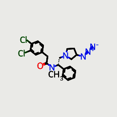 CN(C(=O)Cc1ccc(Cl)c(Cl)c1)[C@H](CN1CCC(N=[N+]=[N-])C1)c1ccccc1